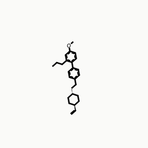 C=C[C@H]1CC[C@H](CCc2ccc(-c3ccc(OC)cc3CCC)cc2)CC1